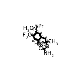 CC(C)N(C)c1cc(CC(C)(C)OC(N)=O)c([N+](=O)[O-])cc1C(F)(F)F